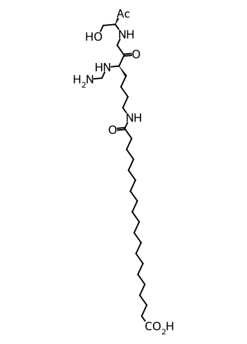 CC(=O)[C@H](CO)NCC(=O)[C@@H](CCCCNC(=O)CCCCCCCCCCCCCCCCCCC(=O)O)NCN